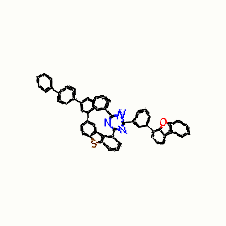 c1ccc(-c2ccc(-c3cccc(-c4ccc5sc6cccc(-c7nc(-c8ccccc8)nc(-c8cccc(-c9cccc%10c9oc9ccccc9%10)c8)n7)c6c5c4)c3)cc2)cc1